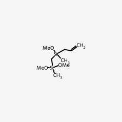 C=CC[Si](C)(C[Si](C)(OC)OC)OC